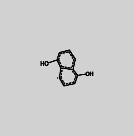 Oc1cccc2c(O)cc[c]c12